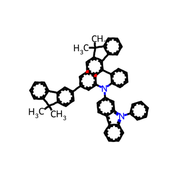 CC1(C)c2ccccc2-c2cc(-c3cccc(N(c4ccc5c6ccccc6n(-c6ccccc6)c5c4)c4ccccc4-c4cccc5c4-c4ccccc4C5(C)C)c3)ccc21